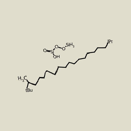 CC(C)CCCCCCCCCCCCCCCC(C)C(C)(C)C.O=[Si](O)OO[SiH3]